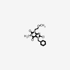 COCCn1c(=O)n(C)c(=O)c2c1nc(Cl)n2Cc1ccccc1